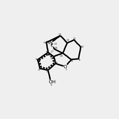 Oc1ccc2c3c1OC1CCCC4C(C2)NCCC314